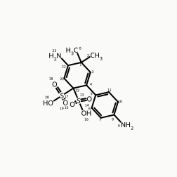 CC1(C)C=C(c2ccc(N)cc2)C(S(=O)(=O)O)(S(=O)(=O)O)C=C1N